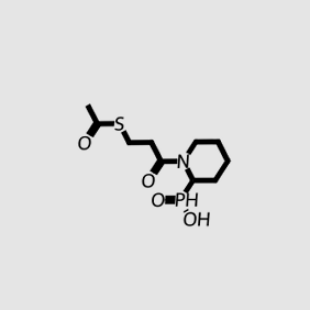 CC(=O)SCCC(=O)N1CCCCC1[PH](=O)O